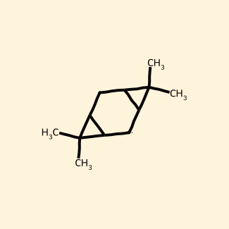 CC1(C)C2[CH]C3C(CC21)C3(C)C